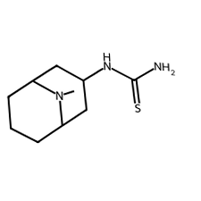 CN1C2CCCC1CC(NC(N)=S)C2